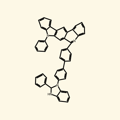 c1ccc(C2Nc3ccccc3N2c2ccc(-c3ccc(-c4nc5ccccc5c5cc6c7ccccc7n(-c7ccccc7)c6cc45)cc3)cc2)cc1